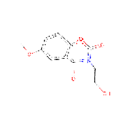 COc1ccc2oc(=O)n(CCO)c(=O)c2c1